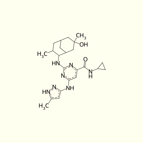 Cc1cc(Nc2cc(C(=O)NC3CC3)nc(NC3C(C)CC4CC3CC(C)(O)C4)n2)n[nH]1